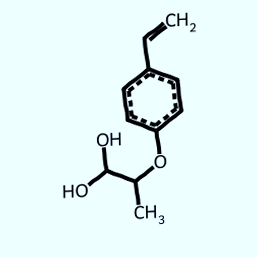 C=Cc1ccc(OC(C)C(O)O)cc1